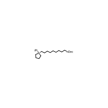 CCCCCCCCCCCCCCCCCCC[N+]1(C(C)C)CCCC1